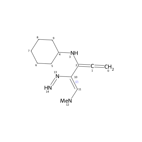 C=C=C(NC1CCCCC1)/C(=C/NC)N=N